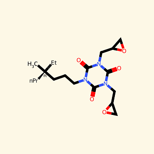 CCC[C@@](C)(CC)CCCn1c(=O)n(CC2CO2)c(=O)n(CC2CO2)c1=O